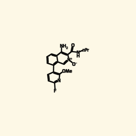 CCCNC(=O)c1c(N)c2cccc(-c3ccc(F)nc3OC)c2c[n+]1[O-]